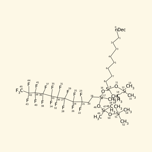 CCCCCCCCCCCCCCCCCC[Si](C)(O[Si](C)(C)C)O[Si](C)(CCC(F)(F)C(F)(F)C(F)(F)C(F)(F)C(F)(F)C(F)(F)C(F)(F)C(F)(F)C(F)(F)F)O[Si](C)(C)O[Si](C)(C)C